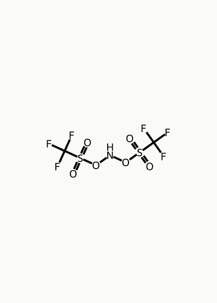 O=S(=O)(ONOS(=O)(=O)C(F)(F)F)C(F)(F)F